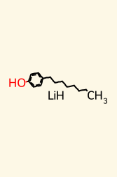 CCCCCCCCc1ccc(O)cc1.[LiH]